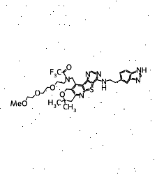 COCCOCCOCCN(Cc1c2c(nc3sc4c(NCCc5ccc6[nH]cnc6c5)ncnc4c13)CC(C)(C)OC2)C(=O)C(F)(F)F